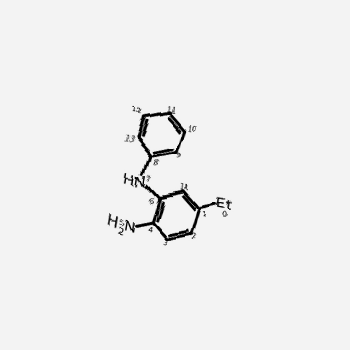 CCc1ccc(N)c(Nc2ccccc2)c1